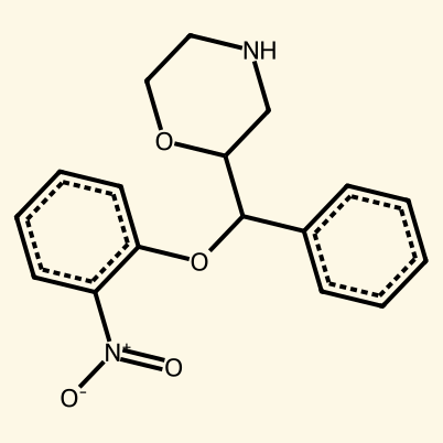 O=[N+]([O-])c1ccccc1OC(c1ccccc1)C1CNCCO1